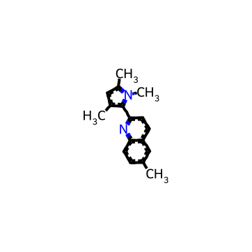 Cc1ccc2nc(-c3c(C)cc(C)n3C)ccc2c1